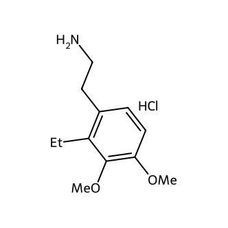 CCc1c(CCN)ccc(OC)c1OC.Cl